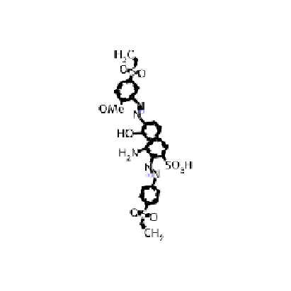 C=CS(=O)(=O)c1ccc(/N=N/c2c(S(=O)(=O)O)cc3ccc(/N=N/c4cc(S(=O)(=O)C=C)ccc4OC)c(O)c3c2N)cc1